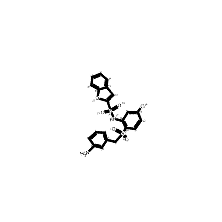 Nc1cccc(CS(=O)(=O)c2ccc(Cl)cc2NS(=O)(=O)c2cc3ccccc3o2)c1